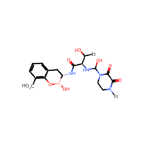 CCC(O)[C@@H](NC(O)N1CCN(CC)C(=O)C1=O)C(=O)N[C@H]1Cc2cccc(C(=O)O)c2OB1O